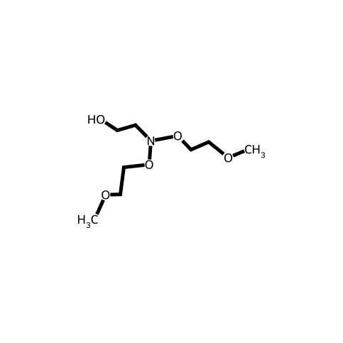 COCCON(CCO)OCCOC